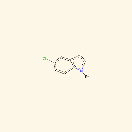 CCn1ccc2cc(Cl)ccc21